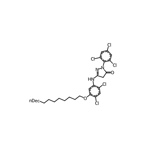 CCCCCCCCCCCCCCCCCCOc1cc(NC2=NN(c3c(Cl)cc(Cl)cc3Cl)C(=O)C2)c(Cl)cc1Cl